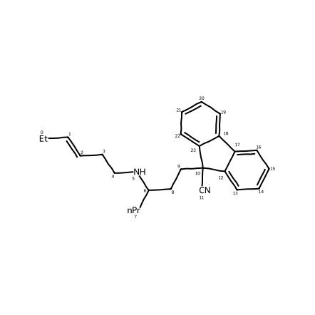 CCC=CCCNC(CCC)CCC1(C#N)c2ccccc2-c2ccccc21